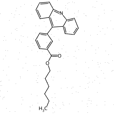 CCCCCCOC(=O)c1cccc(-c2c3ccccc3nc3ccccc23)c1